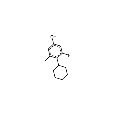 Cc1cc(O)cc(F)c1C1CCCCC1